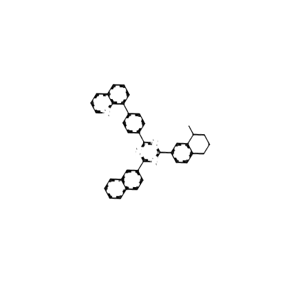 CC1CCCc2ccc(-c3nc(-c4ccc(-c5cccc6cccnc56)cc4)nc(-c4ccc5ccccc5c4)n3)cc21